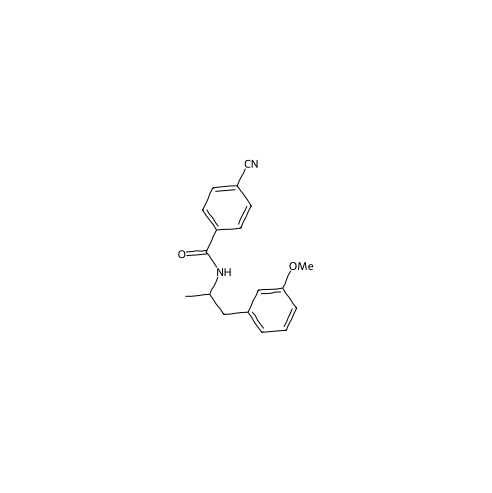 COc1cccc(CC(C)NC(=O)c2ccc(C#N)cc2)c1